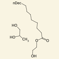 CC(O)CO.CCCCCCCCCCCCCCCCCC(=O)OCCO